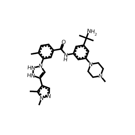 Cc1ccc(C(=O)Nc2cc(N3CCN(C)CC3)cc(C(C)(C)N)c2)cc1N1C=C(c2cnn(C)c2C)NN1